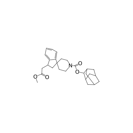 COC(=O)CC1CC2(CCN(C(=O)OC3C4CC5CC(C4)CC3C5)CC2)c2ccccc21